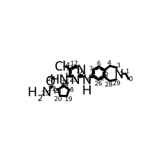 CCN1CCc2ccc(Nc3ncc(Cl)c(N[C@@H]4CCC[C@@H]4C(N)=O)n3)cc2CC1